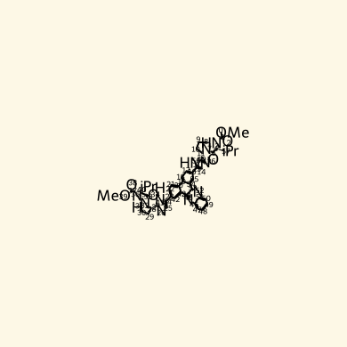 COC(=O)N[C@H](C(=O)N1CCC[C@H]1c1ncc(-c2ccc3c4ccc(-c5cnc([C@@H]6CCCN6C(=O)[C@@H](NC(=O)OC)C(C)C)[nH]5)cc4c4nc5ccccc5nc4c3c2)[nH]1)C(C)C